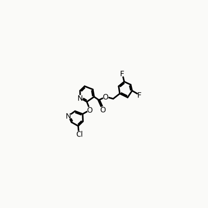 O=C(OCc1cc(F)cc(F)c1)c1cccnc1Oc1cncc(Cl)c1